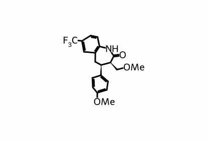 COC[C@@H]1C(=O)Nc2ccc(C(F)(F)F)cc2C[C@@H]1c1ccc(OC)cc1